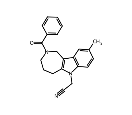 Cc1ccc2c(c1)c1c(n2CC#N)CCCN(C(=O)c2ccccc2)C1